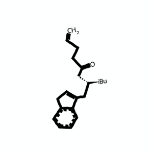 C=CCCC(=O)C[C@@H](CC1=CCc2ccccc21)[C@H](C)CC